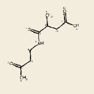 CC(=O)CCNC(=O)C(C)CC(=O)O